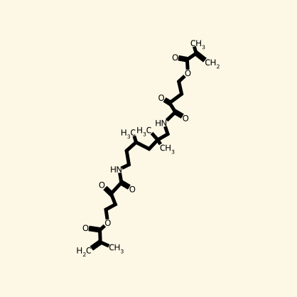 C=C(C)C(=O)OCCC(=O)C(=O)NCCC(C)CC(C)(C)CNC(=O)C(=O)CCOC(=O)C(=C)C